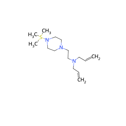 C=CCN(CC=C)CCN1CCN(S(C)(C)C)CC1